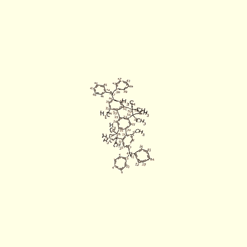 Cc1cc(N(c2ccccc2)c2ccccc2)cc2c1-c1cc3c(cc1C(C)(C)C2(C)C)-c1c(C)cc(N(c2ccccc2)c2ccccc2)cc1C(C)(C)C3(C)C